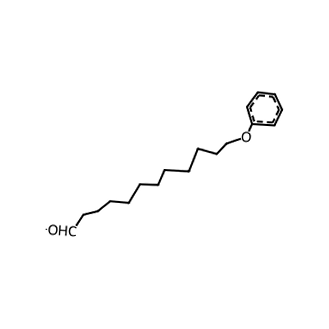 O=[C]CCCCCCCCCCCOc1ccccc1